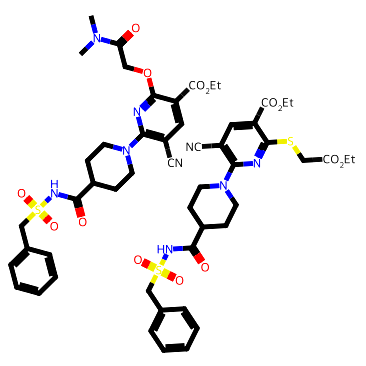 CCOC(=O)CSc1nc(N2CCC(C(=O)NS(=O)(=O)Cc3ccccc3)CC2)c(C#N)cc1C(=O)OCC.CCOC(=O)c1cc(C#N)c(N2CCC(C(=O)NS(=O)(=O)Cc3ccccc3)CC2)nc1OCC(=O)N(C)C